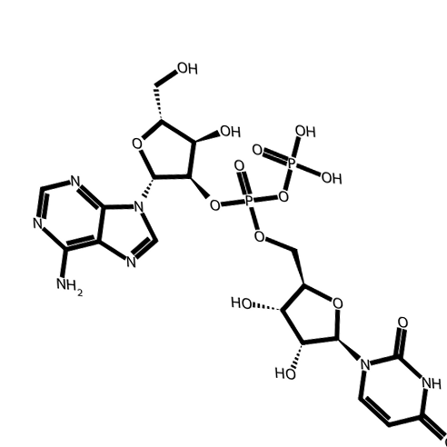 Nc1ncnc2c1ncn2[C@@H]1O[C@H](CO)[C@@H](O)[C@H]1OP(=O)(OC[C@H]1O[C@@H](n2ccc(=O)[nH]c2=O)[C@H](O)[C@@H]1O)OP(=O)(O)O